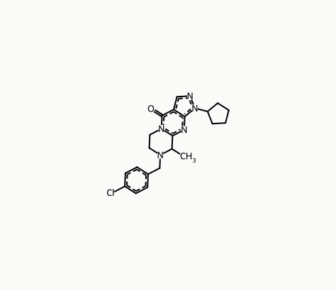 CC1c2nc3c(cnn3C3CCCC3)c(=O)n2CCN1Cc1ccc(Cl)cc1